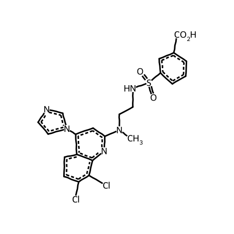 CN(CCNS(=O)(=O)c1cccc(C(=O)O)c1)c1cc(-n2ccnc2)c2ccc(Cl)c(Cl)c2n1